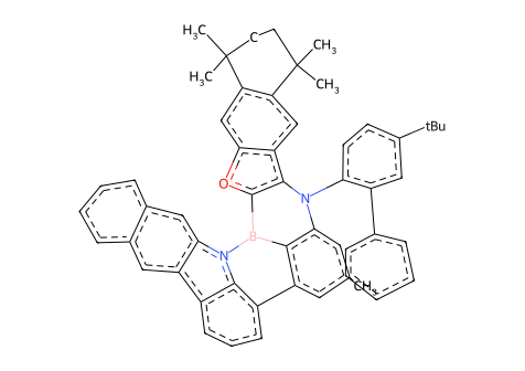 Cc1cc2c3c(c1)N(c1ccc(C(C)(C)C)cc1-c1ccccc1)c1c(oc4cc5c(cc14)C(C)(C)CCC5(C)C)B3n1c3cc4ccccc4cc3c3cccc-2c31